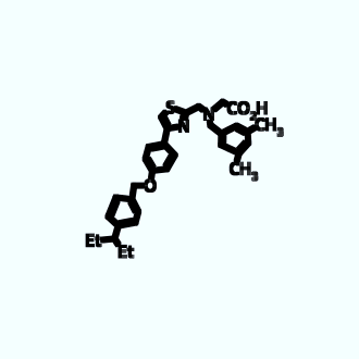 CCC(CC)c1ccc(COc2ccc(-c3csc(CN(CC(=O)O)Cc4cc(C)cc(C)c4)n3)cc2)cc1